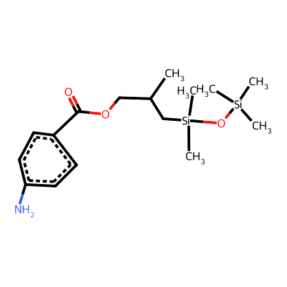 CC(COC(=O)c1ccc(N)cc1)C[Si](C)(C)O[Si](C)(C)C